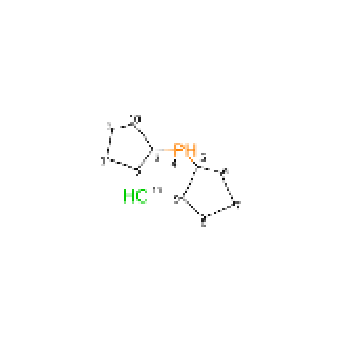 C1CCC(PC2CCCC2)C1.Cl